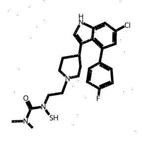 CN(C)C(=O)N(S)CCN1CCC(c2c[nH]c3cc(Cl)cc(-c4ccc(F)cc4)c23)CC1